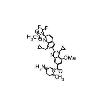 COc1cc(C(=O)N2C[C@H](N)CC[C@@H]2C)cc2nc(-c3cc4ccc(N(C(F)F)S(C)(=O)=O)nc4n3CC3CC3)n(C3CC3)c12